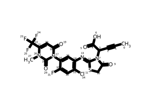 CC#CC(C(=O)O)N1C(=O)CSC1=Nc1cc(-n2c(=O)cc(C(F)(F)F)n(C)c2=O)c(F)cc1Cl